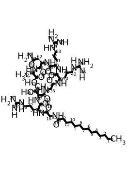 CCCCCCCCCCCCCC(=O)NCC(=O)N[C@@H](CCCNC(=N)N)C(=O)N[C@H](C(=O)NCC(=O)N[C@@H](CCCNC(=N)N)C(=O)N[C@@H](CCCNC(=N)N)C(=O)N[C@@H](CC(N)=O)C(=O)N[C@@H](C)C(=O)O)[C@@H](C)O